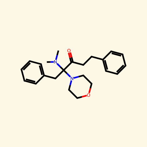 CN(C)C(Cc1ccccc1)(C(=O)CCc1ccccc1)N1CCOCC1